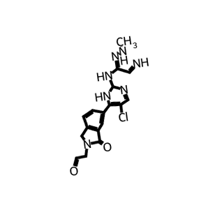 CN/N=C(\C=N)NC1N=CC(Cl)=C(c2ccc3c(c2)C(=O)N(CC=O)C3)N1